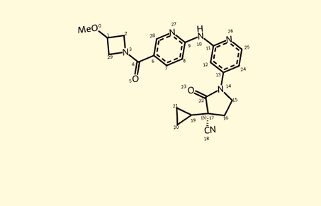 COC1CN(C(=O)c2ccc(Nc3cc(N4CC[C@@](C#N)(C5CC5)C4=O)ccn3)nc2)C1